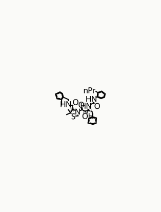 CCCc1ccccc1NC(=O)N[C@@H](Cc1ccccc1)[C@H](O)C(=O)N1CSC(C)(C)[C@H]1C(=O)NCc1ccccc1C